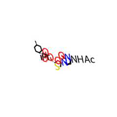 CC(=O)Nc1ccn([C@@H]2CS[C@H](COC(=O)O[C@@H]3C[C@H](C)CC[C@H]3C(C)C)O2)c(=O)n1